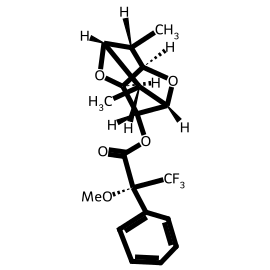 CO[C@@](C(=O)O[C@@H]1[C@H]2O[C@H]3[C@@H](C)[C@@H]1O[C@@H]2[C@H]3C)(c1ccccc1)C(F)(F)F